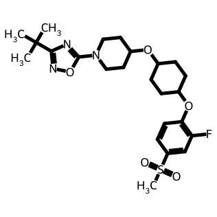 CC(C)(C)c1noc(N2CCC(OC3CCC(Oc4ccc(S(C)(=O)=O)cc4F)CC3)CC2)n1